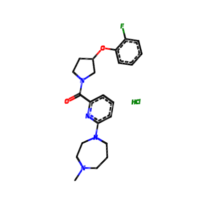 CN1CCCN(c2cccc(C(=O)N3CCC(Oc4ccccc4F)C3)n2)CC1.Cl